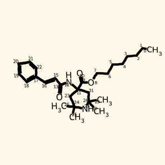 CCCCCCCCOC(=O)C1(NC(=O)C=Cc2ccccc2)CC(C)(C)NC(C)(C)C1